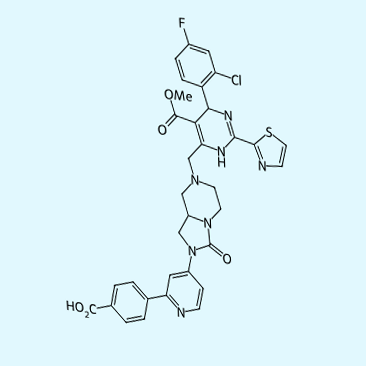 COC(=O)C1=C(CN2CCN3C(=O)N(c4ccnc(-c5ccc(C(=O)O)cc5)c4)CC3C2)NC(c2nccs2)=NC1c1ccc(F)cc1Cl